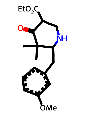 CCOC(=O)C1CNC(Cc2cccc(OC)c2)C(C)(C)C1=O